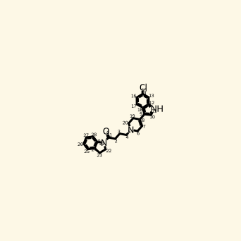 O=C(CCCN1CC=C(c2c[nH]c3cc(Cl)ccc23)CC1)N1CCc2ccccc21